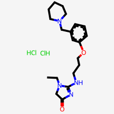 CCN1CC(=O)N=C1NCCCOc1cccc(CN2CCCCC2)c1.Cl.Cl